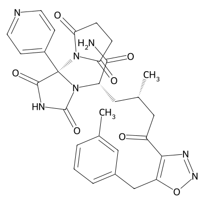 Cc1cccc(Cc2onnc2C(=O)C[C@@H](C)C[C@@H](C(N)=O)N2C(=O)NC(=O)[C@]2(c2ccncc2)N2C(=O)CCC2=O)c1